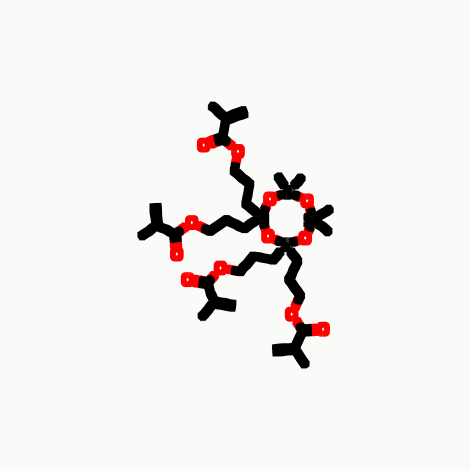 C=C(C)C(=O)OCCC[Si]1(CCCOC(=O)C(=C)C)O[Si](C)(C)O[Si](C)(C)O[Si](CCCOC(=O)C(=C)C)(CCCOC(=O)C(=C)C)O1